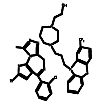 CCc1cc2c(s1)-n1c(C)nnc1CN=C2c1ccccc1Cl.OCCN1CCCN(CCCN2c3ccccc3Sc3ccc(C(F)(F)F)cc32)CC1